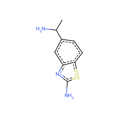 CC(N)c1ccc2sc(N)nc2c1